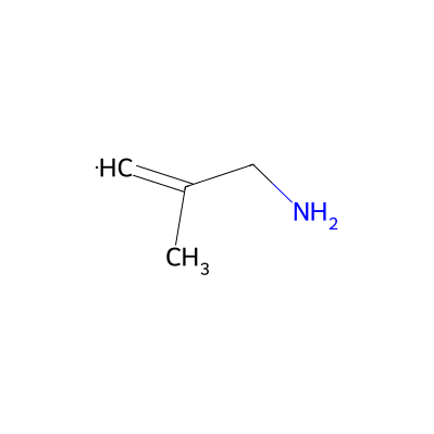 [CH]=C(C)CN